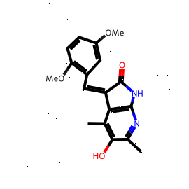 COc1ccc(OC)c(/C=C2\C(=O)Nc3nc(C)c(O)c(C)c32)c1